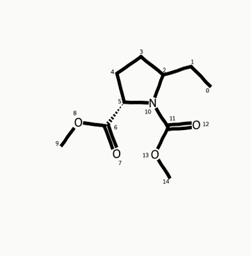 CCC1CC[C@@H](C(=O)OC)N1C(=O)OC